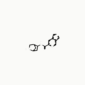 O=C(NC1CC2CC1CN2)c1cc2cscc2cn1